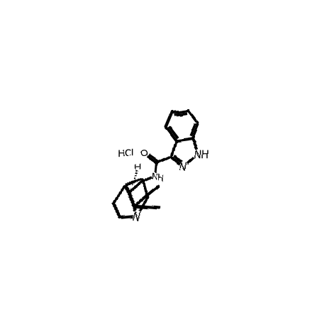 CC1(C)[C@H](NC(=O)c2n[nH]c3ccccc23)C2CCN1CC2.Cl